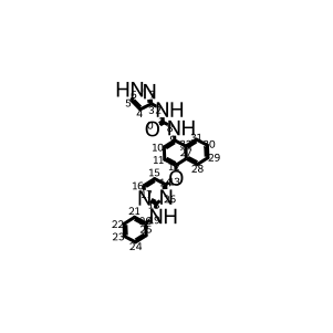 O=C(Nc1cc[nH]n1)Nc1ccc(Oc2ccnc(Nc3ccccc3)n2)c2ccccc12